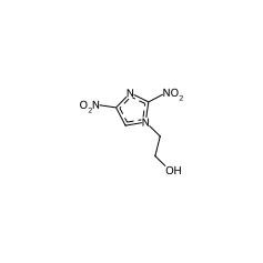 O=[N+]([O-])c1cn(CCO)c([N+](=O)[O-])n1